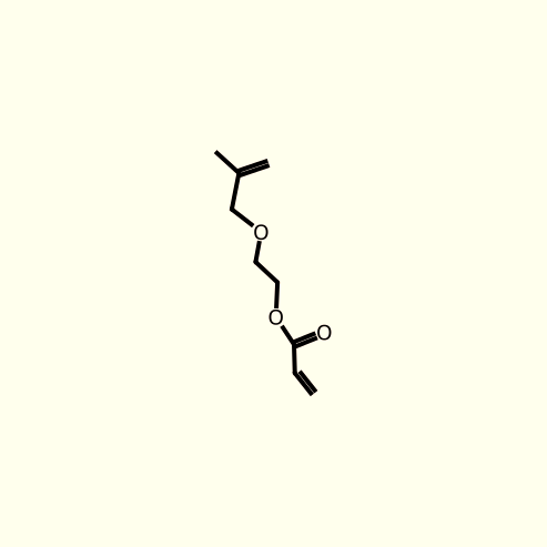 C=CC(=O)OCCOCC(=C)C